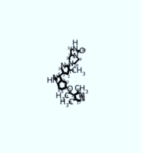 Cc1cc(-c2n[nH]c3ccc(O[C@H](C)c4c(C)cnnc4C)cc23)cnc1N1CCN2C(=O)NCC2C1